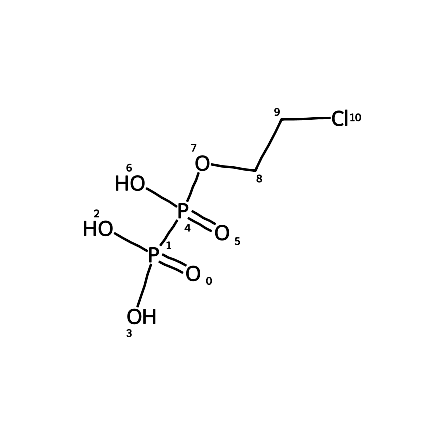 O=P(O)(O)P(=O)(O)OCCCl